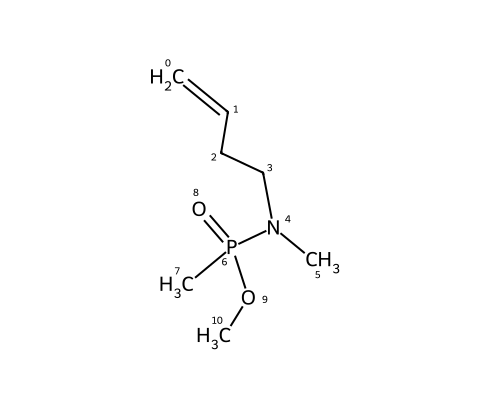 C=CCCN(C)P(C)(=O)OC